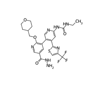 CCNC(=O)Nc1cc(-c2nc(C(F)(F)F)cs2)c(-c2cc(C(=O)NN)cnc2OCC2CCOCC2)cn1